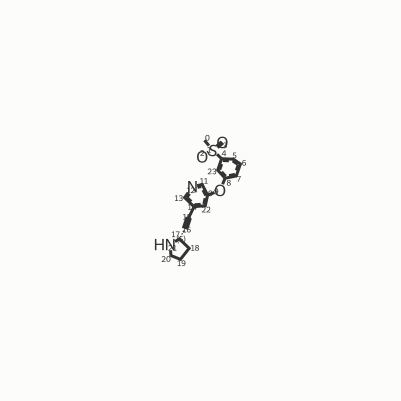 CS(=O)(=O)c1cccc(Oc2cncc(C#C[C@@H]3CCCN3)c2)c1